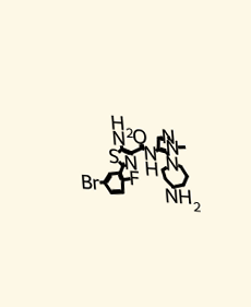 Cn1ncc(NC(=O)c2nc(-c3cc(Br)ccc3F)sc2N)c1N1CCCC(N)CC1